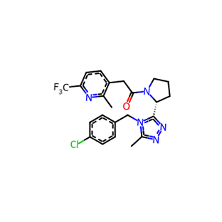 Cc1nc(C(F)(F)F)ccc1CC(=O)N1CCC[C@@H]1c1nnc(C)n1Cc1ccc(Cl)cc1